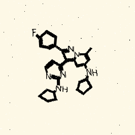 Cc1cc(NC2CCCC2)cc2c(-c3ccnc(NC4CCCC4)n3)c(-c3ccc(F)cc3)nn12